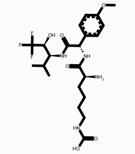 COc1ccc([C@H](NC(=O)[C@@H](N)CCCCNC(=O)O)C(=O)N[C@@H](C(C)C)[C@H](O)C(F)(F)F)cc1